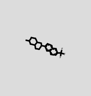 CC1CCC2CC(c3ccc4cc(C(F)(F)F)ccc4c3)CCC2C1